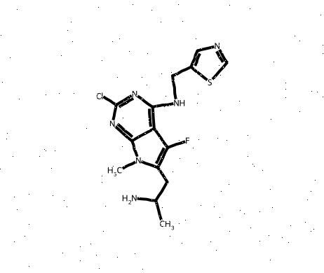 CC(N)Cc1c(F)c2c(NCc3cncs3)nc(Cl)nc2n1C